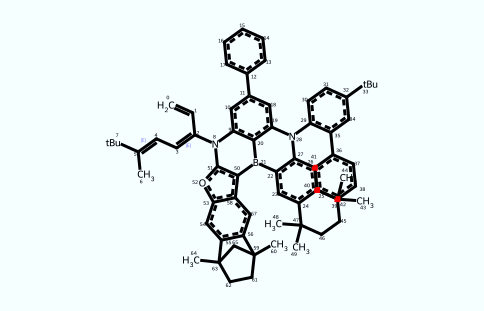 C=C/C(=C\C=C(/C)C(C)(C)C)N1c2cc(-c3ccccc3)cc3c2B(c2cc4c(cc2N3c2ccc(C(C)(C)C)cc2-c2ccccc2)C(C)(C)CCC4(C)C)c2c1oc1cc3c(cc21)C1(C)CCC3(C)C1